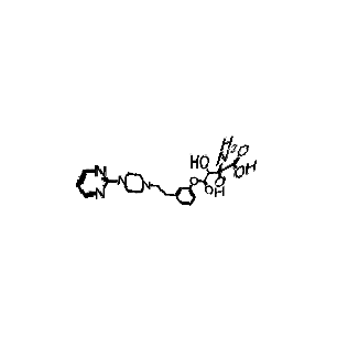 NC(O)(C(=O)O)C(O)C(=O)Oc1cccc(CCN2CCN(c3ncccn3)CC2)c1